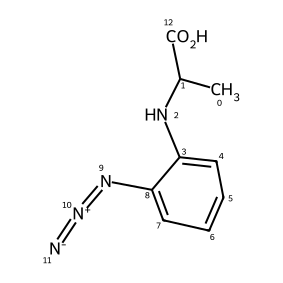 CC(Nc1ccccc1N=[N+]=[N-])C(=O)O